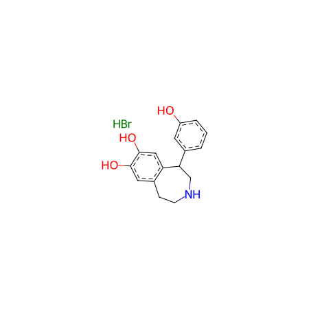 Br.Oc1cccc(C2CNCCc3cc(O)c(O)cc32)c1